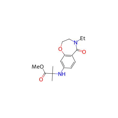 CCN1CCOc2cc(NC(C)(C)C(=O)OC)ccc2C1=O